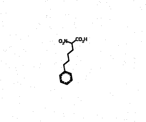 O=C(O)C(CCCCc1ccccc1)[N+](=O)[O-]